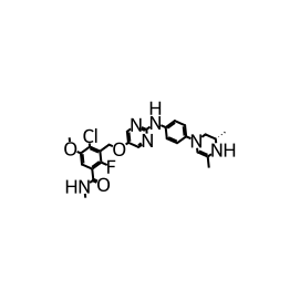 CNC(=O)c1cc(OC)c(Cl)c(COc2cnc(Nc3ccc(N4C=C(C)N[C@@H](C)C4)cc3)nc2)c1F